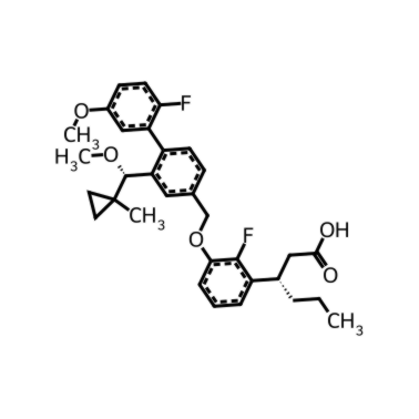 CCC[C@@H](CC(=O)O)c1cccc(OCc2ccc(-c3cc(OC)ccc3F)c([C@@H](OC)C3(C)CC3)c2)c1F